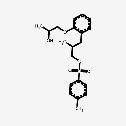 Cc1ccc(S(=O)(=O)OCC(C)Cc2ccccc2OCC(C)O)cc1